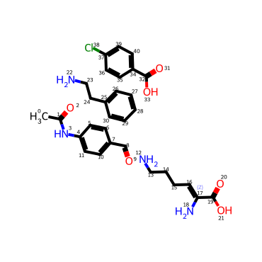 CC(=O)Nc1ccc(C=O)cc1.NCCC/C=C(\N)C(=O)O.NCCc1ccccc1.O=C(O)c1ccc(Cl)cc1